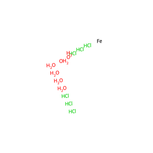 Cl.Cl.Cl.Cl.Cl.Cl.O.O.O.O.O.O.[Fe]